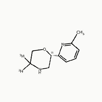 [2H]C1([2H])CO[C@H](c2cccc(C)n2)CN1